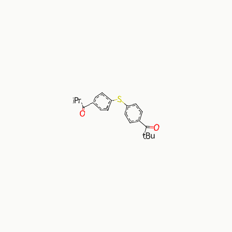 CC(C)C(=O)c1ccc(Sc2ccc(C(=O)C(C)(C)C)cc2)cc1